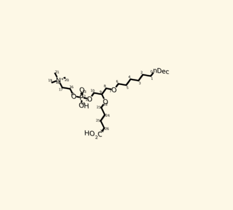 CCCCCCCCCCCCCCCCOCC(COP(=O)(O)OCC[N+](C)(C)C)OCCCCC(=O)O